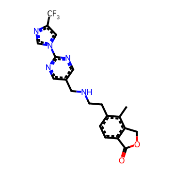 Cc1c(CCNCc2cnc(-n3cnc(C(F)(F)F)c3)nc2)ccc2c1COC2=O